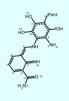 CCCC(C)c1c(O)c(N)c(N/C=C2/C=CC=C(C(N)=O)C2=N)c(O)c1O